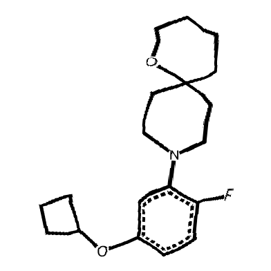 Fc1ccc(OC2CCC2)cc1N1CCC2(CCCCO2)CC1